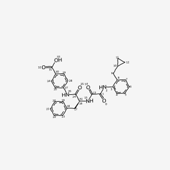 O=C(Nc1ccccc1CC1CC1)C(=O)N[C@@H](Cc1ccccc1)C(=O)Nc1ccc(C(=O)O)cc1